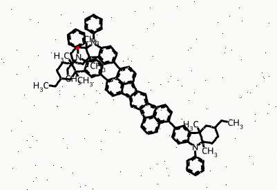 CCC1CCC2(C)N(c3ccccc3)c3ccc(-c4ccc5c6cc7c(cc6c6cccc4c65)c4ccc(-c5ccc6c(c5)C5(C)CC(CC)CCC5(C)N6c5ccccc5)c5c(-c6ccc8c(c6)C6(C)CC(CC)CCC6(C)N8c6ccccc6)ccc7c54)cc3C2(C)C1